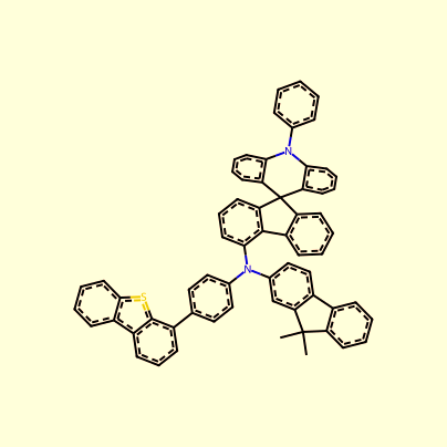 CC1(C)c2ccccc2-c2ccc(N(c3ccc(-c4cccc5c4sc4ccccc45)cc3)c3cccc4c3-c3ccccc3C43c4ccccc4N(c4ccccc4)c4ccccc43)cc21